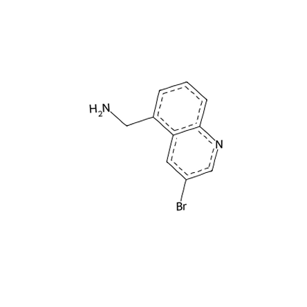 NCc1cccc2ncc(Br)cc12